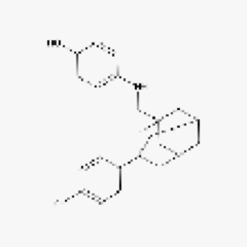 Oc1ccc(NCC23CC4CC(C2)CC(c2ccc(Cl)cc2)(C4)C3)cc1